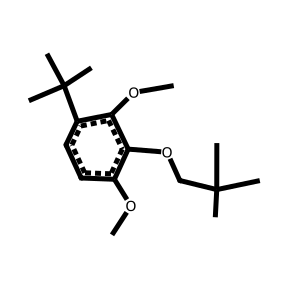 COc1ccc(C(C)(C)C)c(OC)c1OCC(C)(C)C